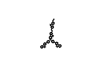 C/C=C/c1ccc2c(c1)C(C)(C)c1cc(/C=C/c3ccc4c(c3)C(C)(C)c3cc(N(c5ccc(-c6ccc7c(c6)C(C)(C)c6ccccc6-7)cc5)c5ccc(-c6ccc7c(c6)C(C)(C)c6ccccc6-7)cc5)ccc3-4)ccc1-2